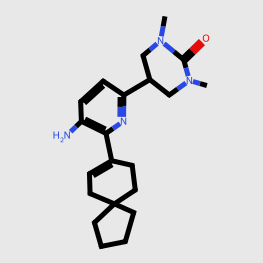 CN1CC(c2ccc(N)c(C3=CCC4(CCCC4)CC3)n2)CN(C)C1=O